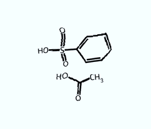 CC(=O)O.O=S(=O)(O)c1ccccc1